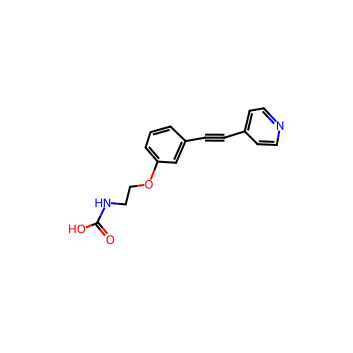 O=C(O)NCCOc1cccc(C#Cc2ccncc2)c1